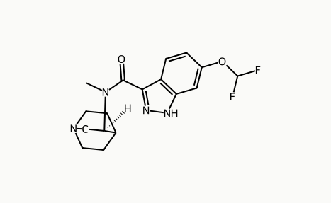 CN(C(=O)c1n[nH]c2cc(OC(F)F)ccc12)[C@@H]1CN2CCC1CC2